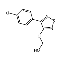 OCOc1nsnc1-c1ccc(Cl)cc1